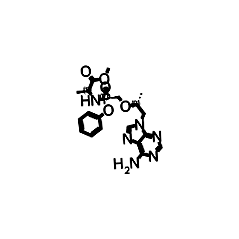 COC(=O)[C@H](C)N[P@@](=O)(CO[C@H](C)Cn1cnc2c(N)ncnc21)Oc1ccccc1